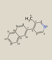 Cc1cnccc1-c1ccc2ccccc2c1